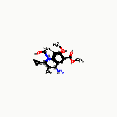 COC(=O)c1cc2c(cc1OC)N(C(C)=O)[C@@H](C1CC1)[C@H](C)[C@H]2N